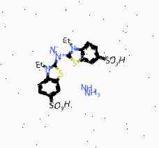 CCN1c2ccc(S(=O)(=O)O)cc2SC1[N+](=[N-])C1Sc2cc(S(=O)(=O)O)ccc2N1CC.N.N